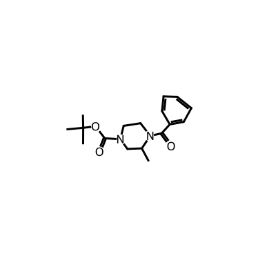 CC1CN(C(=O)OC(C)(C)C)CCN1C(=O)c1ccccc1